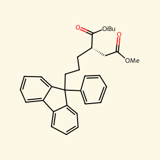 COC(=O)C[C@H](CCCC1(c2ccccc2)c2ccccc2-c2ccccc21)C(=O)OCC(C)C